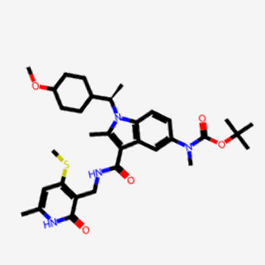 COC1CCC([C@@H](C)n2c(C)c(C(=O)NCc3c(SC)cc(C)[nH]c3=O)c3cc(N(C)C(=O)OC(C)(C)C)ccc32)CC1